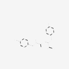 O=C(OC(Cc1ccc(O)cc1)C(=O)O)C(O)Cc1ccc(O)cc1